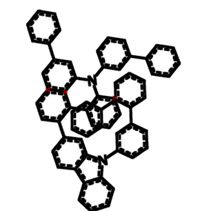 c1ccc(-c2cccc(N(c3cccc(-c4ccccc4)c3)c3ccccc3-c3ccccc3-c3ccc4c5ccccc5n(-c5cccc(-c6ccccc6-c6ccccc6)c5)c4c3)c2)cc1